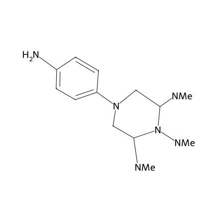 CNC1CN(c2ccc(N)cc2)CC(NC)N1NC